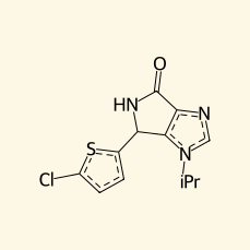 CC(C)n1cnc2c1C(c1ccc(Cl)s1)NC2=O